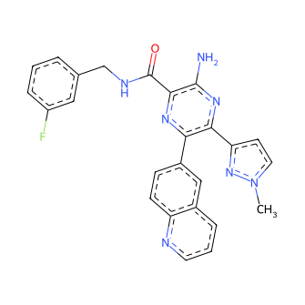 Cn1ccc(-c2nc(N)c(C(=O)NCc3cccc(F)c3)nc2-c2ccc3ncccc3c2)n1